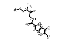 CN(CCO)C(=O)CNC(=O)c1cc2sc(Cl)c(Cl)c2[nH]1